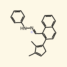 CC1=CCC(c2ccc3ccccc3c2/C=N/Nc2ccccc2)=C1C